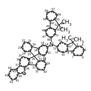 CC1(C)c2ccccc2-c2ccc(N(c3ccc4c(c3)-c3ccccc3C43c4ccccc4-c4c3ccc3c4sc4ccccc43)c3ccc4c(c3)C(C)(C)c3ccccc3-4)cc21